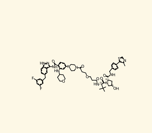 Cc1ncsc1-c1ccc(CNC(=O)[C@@H]2C[C@@H](O)CN2C(=O)[C@@H](NC(=O)CCOCCC(=O)N2CCN(c3ccc(C(=O)Nc4n[nH]c5ccc(Cc6cc(F)cc(F)c6)cc45)c(NC4CCOCC4)c3)CC2)C(C)(C)C)cc1